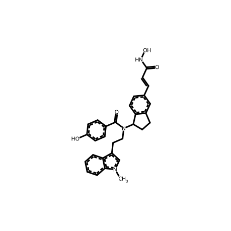 Cn1cc(CCN(C(=O)c2ccc(O)cc2)C2CCc3cc(/C=C/C(=O)NO)ccc32)c2ccccc21